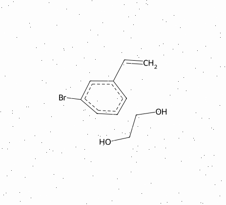 C=Cc1cccc(Br)c1.OCCO